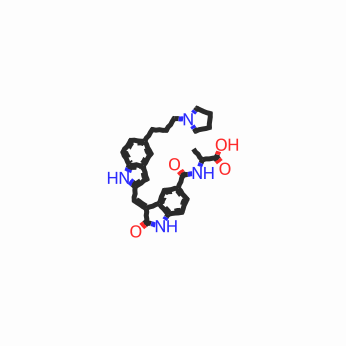 CC(NC(=O)c1ccc2c(c1)/C(=C\c1cc3cc(CCCN4CCCC4)ccc3[nH]1)C(=O)N2)C(=O)O